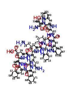 CCC(C)C[C@H](NC(=O)[C@H](Cc1ccccc1)NC(=O)[C@H](CCCCN)NC(=O)[C@H](CCCCN)NC(=O)[C@H](CCC(=O)O)NC(=O)[C@H](CO)NC(=O)[C@H](Cc1ccccc1)NC(=O)[C@H](Cc1ccccc1)NC(C)=O)C(=O)N[C@@H](Cc1c[nH]c2ccccc12)C(=O)NCC(=O)N[C@@H](Cc1ccccc1)C(=O)N[C@H](C(N)=O)[C@@H](C)O